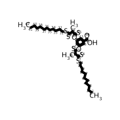 CCCCCCCCCCCCSC(=S)C(C)C(=S)Oc1cc(OC(=S)C(C)C(=S)SCCCCCCCCCCCC)cc(C(=O)O)c1